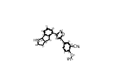 CC(C)Oc1ccc(-c2nc(-c3cccc4c3CC3CCNC43)no2)cc1C#N